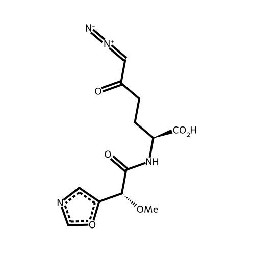 CO[C@@H](C(=O)N[C@@H](CCC(=O)C=[N+]=[N-])C(=O)O)c1cnco1